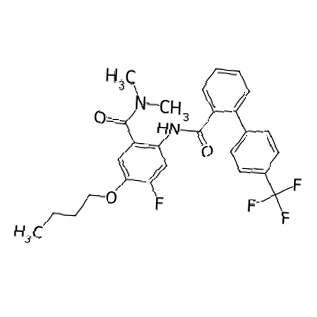 CCCCOc1cc(C(=O)N(C)C)c(NC(=O)c2ccccc2-c2ccc(C(F)(F)F)cc2)cc1F